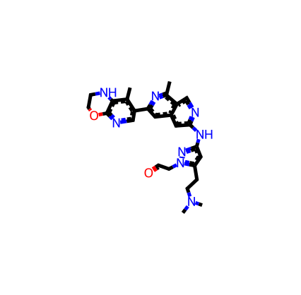 Cc1c(-c2cc3cc(Nc4cc(CCN(C)C)n(CC=O)n4)ncc3c(C)n2)cnc2c1NCCO2